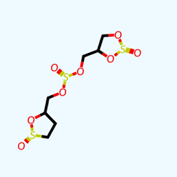 O=S1CCC(COS(=O)OCC2COS(=O)O2)O1